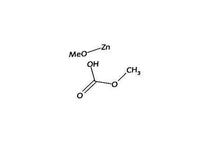 COC(=O)O.C[O][Zn]